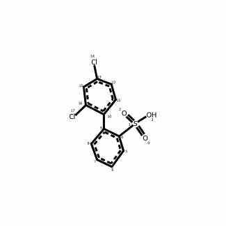 O=S(=O)(O)c1ccccc1-c1ccc(Cl)cc1Cl